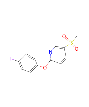 CS(=O)(=O)c1ccc(Oc2ccc(I)cc2)nc1